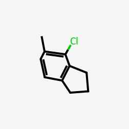 Cc1ccc2c(c1Cl)CCC2